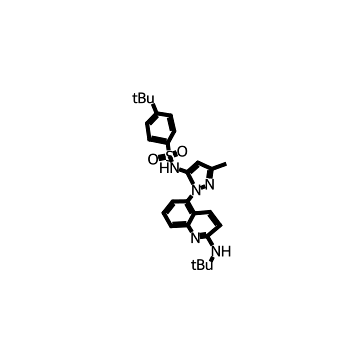 Cc1cc(NS(=O)(=O)c2ccc(C(C)(C)C)cc2)n(-c2cccc3nc(NC(C)(C)C)ccc23)n1